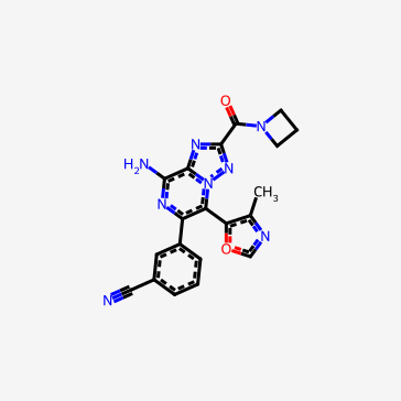 Cc1ncoc1-c1c(-c2cccc(C#N)c2)nc(N)c2nc(C(=O)N3CCC3)nn12